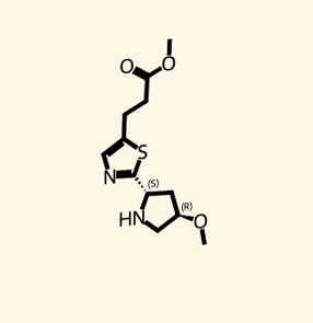 COC(=O)CCc1cnc([C@@H]2C[C@@H](OC)CN2)s1